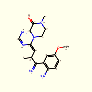 CC(C)Oc1ccc(N)c(C(=N)C(C)/C=C(\N=C/N)N2CCN(C)C(=O)C2)c1